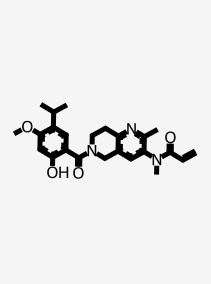 C=CC(=O)N(C)c1cc2c(nc1C)CCN(C(=O)c1cc(C(C)C)c(OC)cc1O)C2